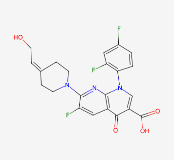 O=C(O)c1cn(-c2ccc(F)cc2F)c2nc(N3CCC(=CCO)CC3)c(F)cc2c1=O